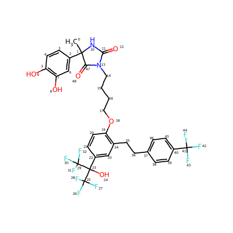 CC1(c2ccc(O)c(O)c2)NC(=O)N(CCCCOc2ccc(C(O)(C(F)(F)F)C(F)(F)F)cc2CCc2ccc(C(F)(F)F)cc2)C1=O